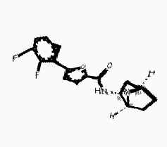 O=C(N[C@@H]1C[C@H]2CC[C@@H]1N2)c1ccc(-c2cccc(F)c2F)o1